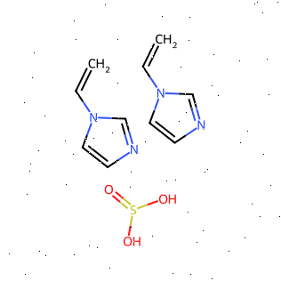 C=Cn1ccnc1.C=Cn1ccnc1.O=S(O)O